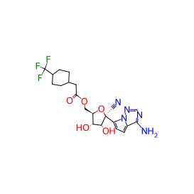 N#C[C@@]1(c2ccc3c(N)ncnn23)O[C@H](COC(=O)CC2CCC(C(F)(F)F)CC2)[C@@H](O)[C@H]1O